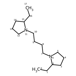 CCC1CCCN1CCCCN1CCCC1CC